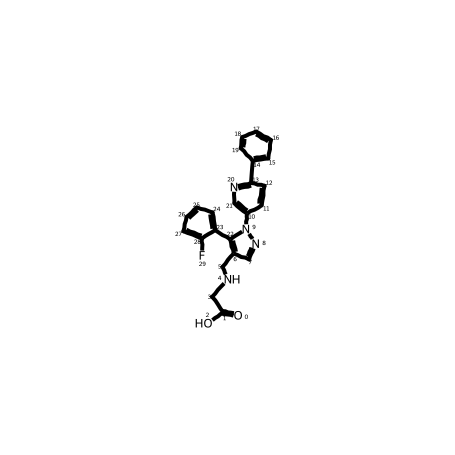 O=C(O)CNCc1cnn(-c2ccc(-c3ccccc3)nc2)c1-c1ccccc1F